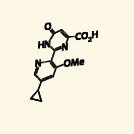 COc1cc(C2CC2)cnc1-c1nc(C(=O)O)cc(=O)[nH]1